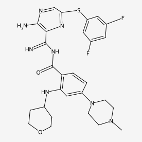 CN1CCN(c2ccc(C(=O)NC(=N)c3nc(Sc4cc(F)cc(F)c4)cnc3N)c(NC3CCOCC3)c2)CC1